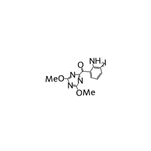 COc1nc(OC)nc(C(=O)c2cccc(I)c2N)n1